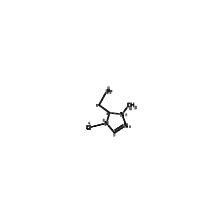 CC(C)CC1N(Cl)C=NN1C